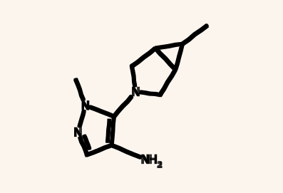 CC1C2CN(c3c(N)cnn3C)CC12